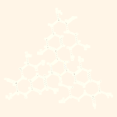 CCCCC(COC(=O)C(C)Oc1ccc(-c2nc(-c3ccc(OC(C)C(=O)OCC(CCCC)OCC)cc3O)nc(-c3ccc(OC(C)C(=O)OCC(CCCC)OCC)cc3O)n2)c(O)c1)OCC